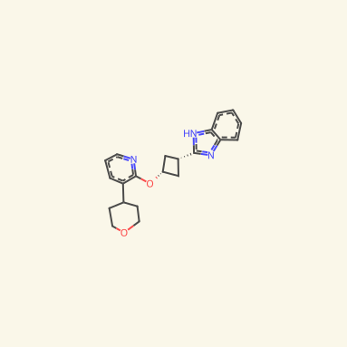 c1cnc(O[C@H]2C[C@@H](c3nc4ccccc4[nH]3)C2)c(C2CCOCC2)c1